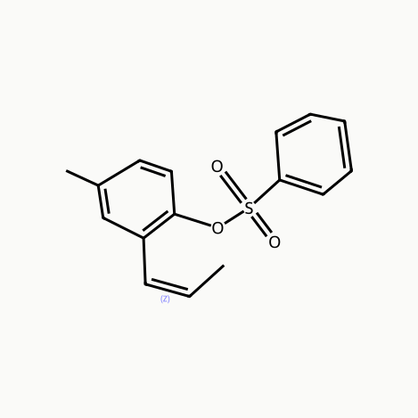 C/C=C\c1cc(C)ccc1OS(=O)(=O)c1ccccc1